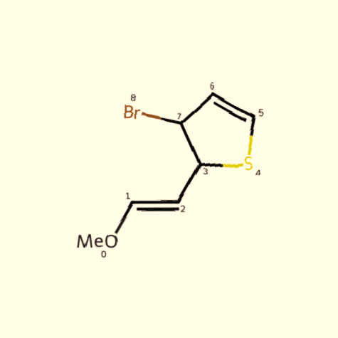 COC=CC1SC=CC1Br